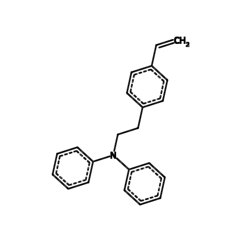 C=Cc1ccc(CCN(c2ccccc2)c2ccccc2)cc1